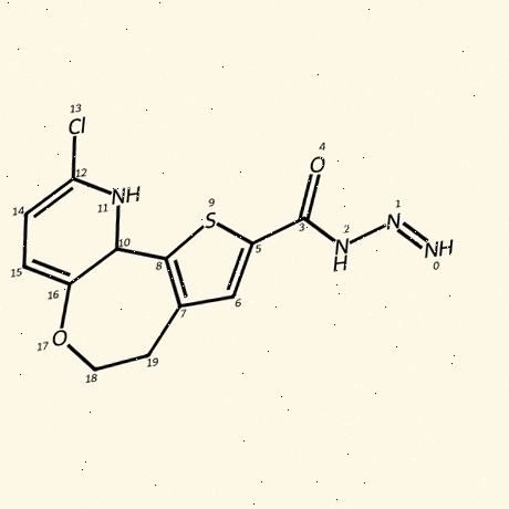 N=NNC(=O)c1cc2c(s1)C1NC(Cl)=CC=C1OCC2